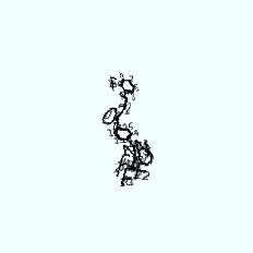 O=C(CSc1ccccc1F)c1ccc(-c2noc(C(F)(F)F)n2)cc1